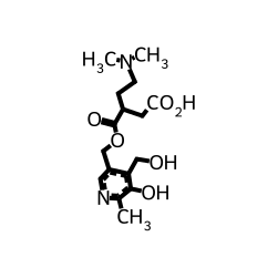 Cc1ncc(COC(=O)C(CCN(C)C)CC(=O)O)c(CO)c1O